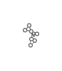 c1ccc2c(c1)-c1cccc3c(-n4c5ccccc5c5cc6c7ccccc7c7ccccc7c6cc54)ccc-2c13